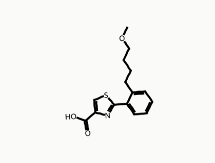 COCCCCc1ccccc1-c1nc(C(=O)O)cs1